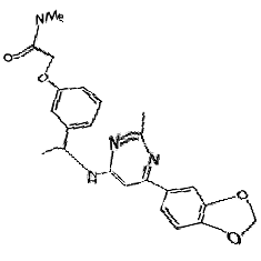 CNC(=O)COc1cccc(C(C)Nc2cc(-c3ccc4c(c3)OCO4)nc(C)n2)c1